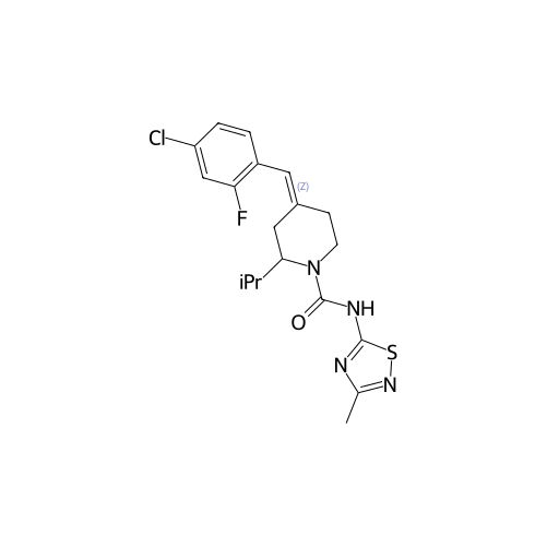 Cc1nsc(NC(=O)N2CC/C(=C/c3ccc(Cl)cc3F)CC2C(C)C)n1